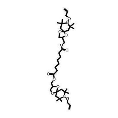 C=CCON1C(C)(C)CC2(CC1(C)C)OCC(COC(=O)CCCCCCC(=O)OCC1COC3(CC(C)(C)N(OCC=C)C(C)(C)C3)O1)O2